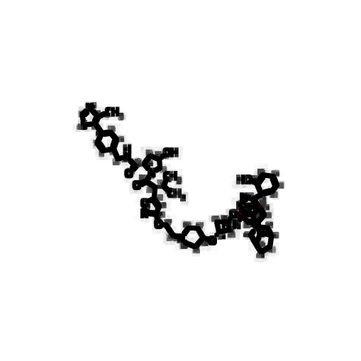 Cc1ncsc1-c1ccc(CNC(=O)[C@@H]2C[C@@H](O)CN2C(=O)[C@@H](c2cc(OCCN3CCC(O[C@H]4C[C@H](Oc5cc(N6C7CCC6CN(c6cc(-c8ccccc8O)nnc6N)C7)ccn5)C4)CC3)no2)C(C)C)cc1